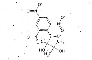 CC(C)(O)C(C)(O)C(Br)c1c([N+](=O)[O-])cc([N+](=O)[O-])cc1[N+](=O)[O-]